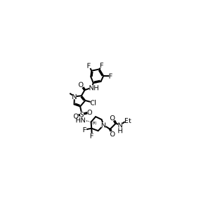 CCNC(=O)C(=O)N1CC[C@@H](NS(=O)(=O)c2cn(C)c(C(=O)Nc3cc(F)c(F)c(F)c3)c2Cl)C(F)(F)C1